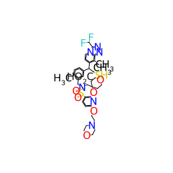 Cc1ccc(C(c2ccn3c(C(F)F)nnc3c2C)C(C)(S)C(=O)O)cc1CN1CC2(CCOCC2)Oc2nc(OCCN3CCOCC3)ccc2S1(=O)=O